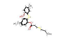 CCCCCCCCCCCCSCCC(=O)Oc1ccc(C)cc1Sc1cc(C)ccc1O